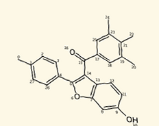 Cc1ccc(-c2oc3cc(O)ccc3c2C(=O)c2cc(C)c(C)c(C)c2)cc1